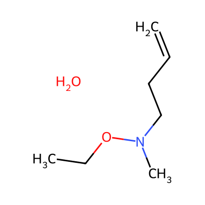 C=CCCN(C)OCC.O